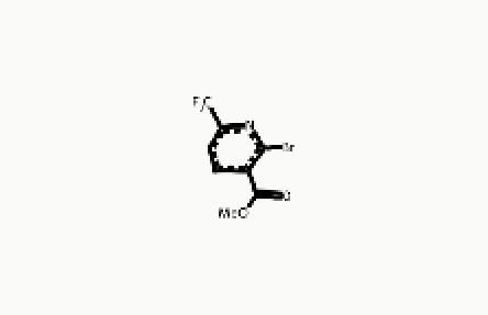 COC(=O)c1ccc(C(F)(F)F)nc1Br